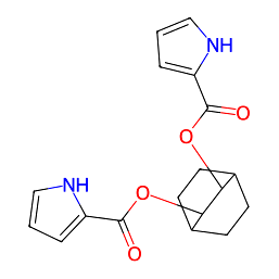 O=C(OC1C2CCC(CC2)C1OC(=O)c1ccc[nH]1)c1ccc[nH]1